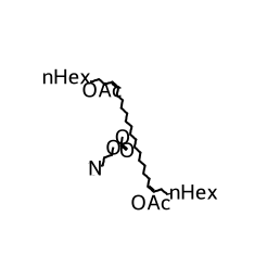 CCCCCC[C@H](CC/C=C\CCCCCCC(CCCCCCC/C=C\C[C@@H](CCCCCC)OC(C)=O)OC(=O)OCCCN(C)C)OC(C)=O